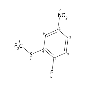 O=[N+]([O-])c1ccc(F)c(SC(F)(F)F)c1